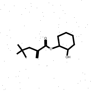 C=C(CC(C)(C)C)C(=O)OC1CCCCC1O